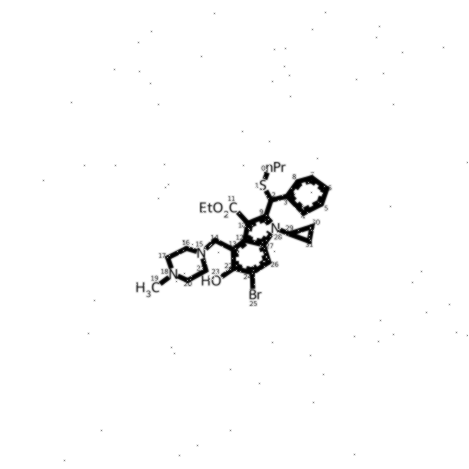 CCCSC(c1ccccc1)c1c(C(=O)OCC)c2c(CN3CCN(C)CC3)c(O)c(Br)cc2n1C1CC1